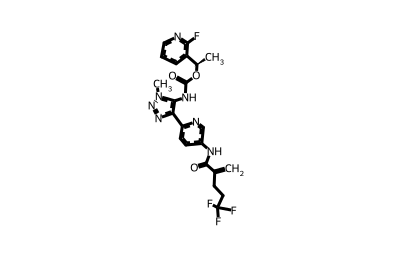 C=C(CCC(F)(F)F)C(=O)Nc1ccc(-c2nnn(C)c2NC(=O)O[C@H](C)c2cccnc2F)nc1